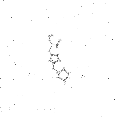 CCNC(CO)Cc1cn(Cc2ccccc2)cn1